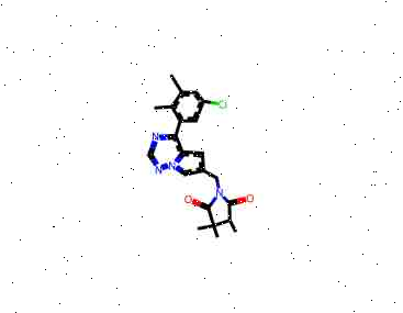 Cc1cc(Cl)cc(-c2ncnn3cc(CN4C(=O)C(C)C(C)(C)C4=O)cc23)c1C